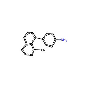 N#Cc1cccc2cccc(-c3ccc(N)cc3)c12